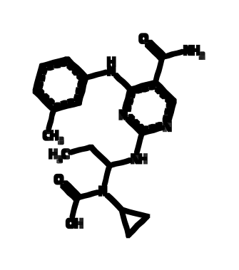 CCC(Nc1ncc(C(N)=O)c(Nc2cccc(C)c2)n1)N(C(=O)O)C1CC1